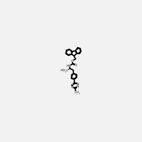 Cc1nnc(-c2ccc(C[C@H](NC(=O)OCC3c4ccccc4-c4ccccc43)C(=O)O)cc2)nn1